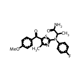 COc1ccc(C(=O)c2sc(N(c3ccc(F)cc3)C(C)C(N)=O)nc2C)cc1